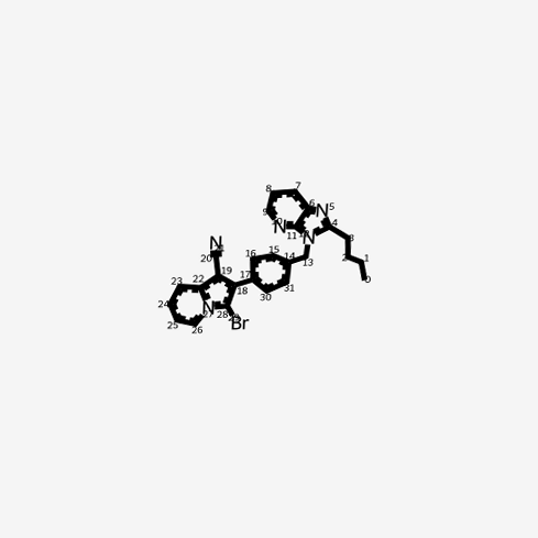 CCCCc1nc2cccnc2n1Cc1ccc(-c2c(C#N)c3ccccn3c2Br)cc1